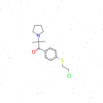 CC(C)(C(=O)c1ccc(SCCCl)cc1)N1CCCC1